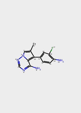 [CH2]Cc1cn2ncnc(N)c2c1-c1ccc(N)c(F)c1